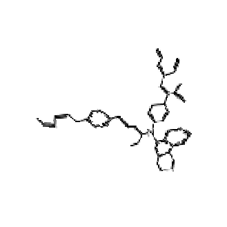 C=C/C=C(C=C)/C=C(\C(=C)C)C1C=CC(N(/C(=C/C=C/c2ccc(C/C=C\C=C/C)cc2)CC)c2cc3c(c4ccccc24)C=CCC3)=CC1